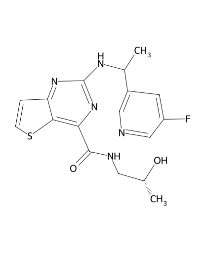 CC(Nc1nc(C(=O)NC[C@@H](C)O)c2sccc2n1)c1cncc(F)c1